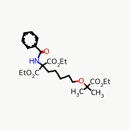 CCOC(=O)C(C)(C)OCCCCCC(NC(=O)c1ccccc1)(C(=O)OCC)C(=O)OCC